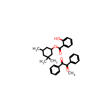 C.CC1CC(OC(=O)c2ccccc2O)CC(C)(C)C1.O=C(C(=O)c1ccccc1)c1ccccc1